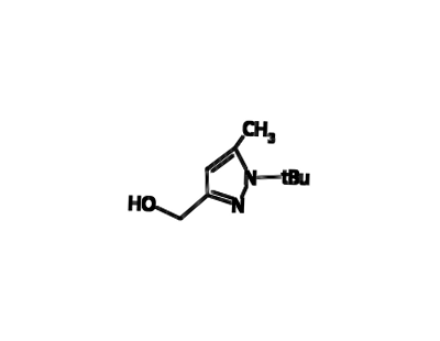 Cc1cc(CO)nn1C(C)(C)C